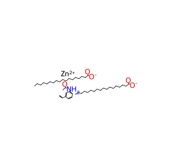 C=Cc1ccccc1.CC(N)=O.CCCCCCCCCCCCCCCCCC(=O)[O-].CCCCCCCCCCCCCCCCCC(=O)[O-].[Zn+2]